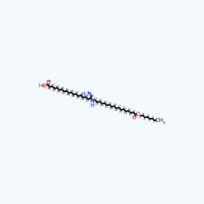 CCCCCCCCOC(=O)CCCCCCCCCCCCCCCCCNC(CN)CCCCCCCCCCCCCCCCCC(=O)O